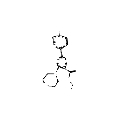 CCOC(=O)c1nc(-c2ccc(F)cn2)sc1N1CCOCC1